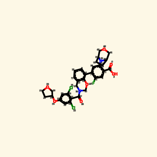 O=C(O)c1cc(F)c(-c2cccc3c2OCN(C(=O)c2c(Cl)cc(OC4CCOC4)cc2Cl)C3)cc1N1C2CCC1COC2